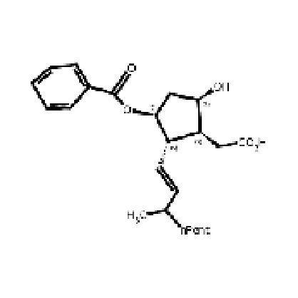 CCCCCC(C)C=C[C@H]1[C@H](CC(=O)O)[C@H](O)C[C@@H]1OC(=O)c1ccccc1